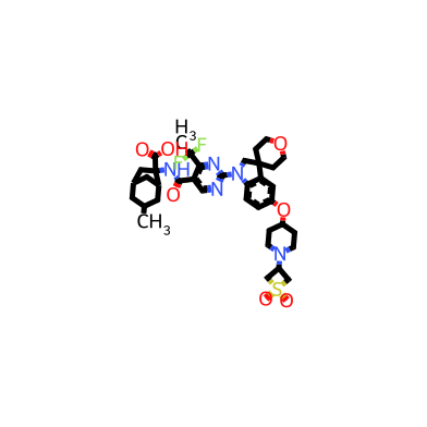 CC1CC2CC(C1)C(NC(=O)c1cnc(N3CC4(CCOCC4)c4cc(OC5CCN(C6CS(=O)(=O)C6)CC5)ccc43)nc1C(C)(F)F)(C(=O)O)C2